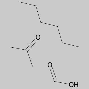 CC(C)=O.CCCCCC.O=CO